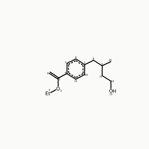 C=C(OCC)c1ccc(CC(C)CCO)cc1